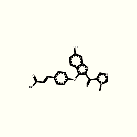 Cn1cncc1C(=O)c1sc2cc(O)ccc2c1Oc1ccc(/C=C/C(=O)O)cc1